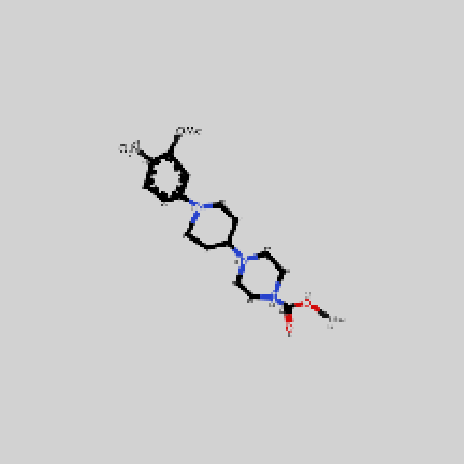 COc1cc(N2CCC(N3CCN(C(=O)OC(C)(C)C)CC3)CC2)ccc1[N+](=O)[O-]